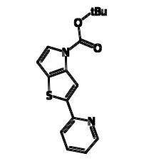 CC(C)(C)OC(=O)n1ccc2sc(-c3ccccn3)cc21